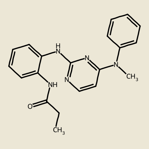 CCC(=O)Nc1ccccc1Nc1nccc(N(C)c2ccccc2)n1